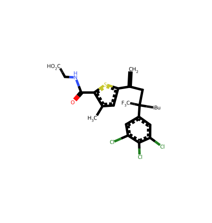 C=C(CC(c1cc(Cl)c(Cl)c(Cl)c1)(C(C)CC)C(F)(F)F)c1cc(C)c(C(=O)NCC(=O)O)s1